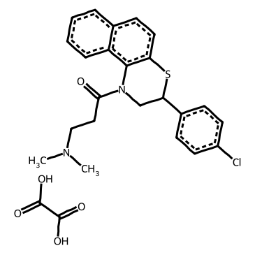 CN(C)CCC(=O)N1CC(c2ccc(Cl)cc2)Sc2ccc3ccccc3c21.O=C(O)C(=O)O